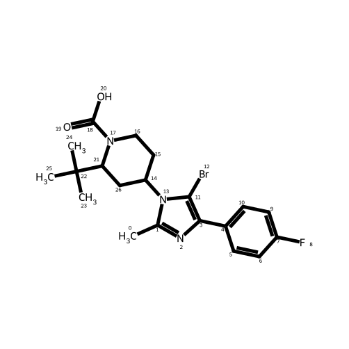 Cc1nc(-c2ccc(F)cc2)c(Br)n1C1CCN(C(=O)O)C(C(C)(C)C)C1